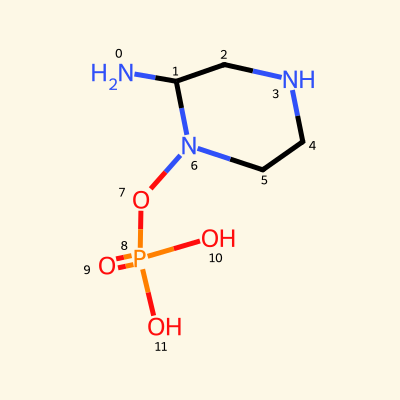 NC1CNCCN1OP(=O)(O)O